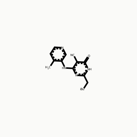 CCC(C)Cc1nc(Nc2cnccc2C)c(C#N)c(=O)[nH]1